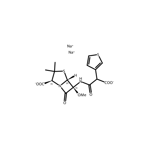 CO[C@@]1(NC(=O)C(C(=O)[O-])c2ccsc2)C(=O)N2[C@@H](C(=O)[O-])C(C)(C)S[C@@H]21.[Na+].[Na+]